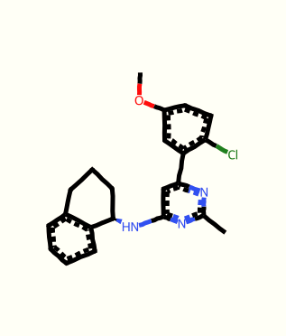 COc1ccc(Cl)c(-c2cc(N[C@@H]3CCCc4ccccc43)nc(C)n2)c1